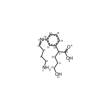 N=CCCCN.O=C(O)C(CCCO)c1ccccc1